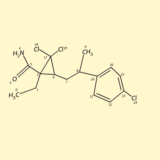 CCC1(C(N)=O)C(CC(C)c2ccc(Cl)cc2)C1(Cl)Cl